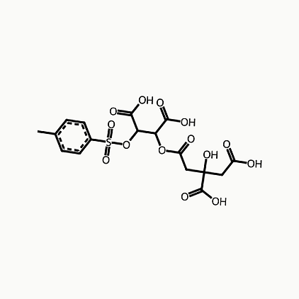 Cc1ccc(S(=O)(=O)OC(C(=O)O)C(OC(=O)CC(O)(CC(=O)O)C(=O)O)C(=O)O)cc1